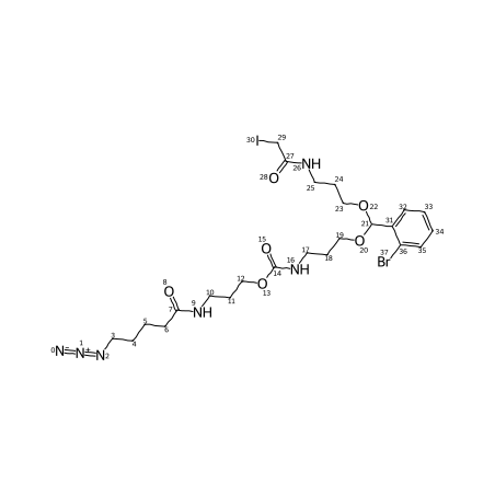 [N-]=[N+]=NCCCCC(=O)NCCCOC(=O)NCCCOC(OCCCNC(=O)CI)c1ccccc1Br